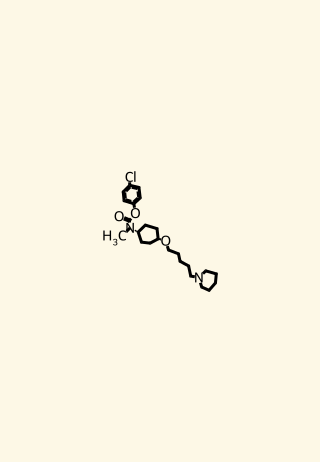 CN(C(=O)Oc1ccc(Cl)cc1)[C@H]1CC[C@H](OCCCCCN2CCCCC2)CC1